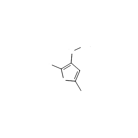 Cc1cc(OC=O)c(Br)s1